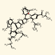 CC(C)OC(=O)c1cc(OC(C)C)c(-c2sc3c(sc4c(-c5ccccc5)c(-c5c(OC(C)C)cc(C(=O)OC(C)C)cc5OC(C)C)sc43)c2-c2ccccc2)c(OC(C)C)c1